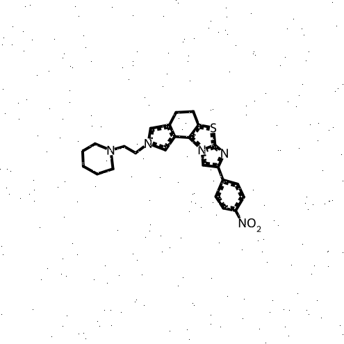 O=[N+]([O-])c1ccc(-c2cn3c4c(sc3n2)CCc2cn(CCN3CCCCC3)cc2-4)cc1